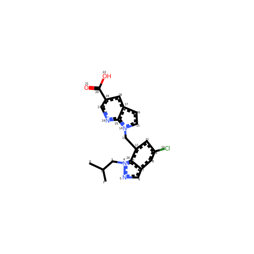 CC(C)Cn1ncc2cc(Cl)cc(Cn3ccc4cc(C(=O)O)cnc43)c21